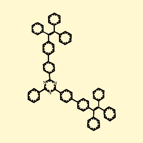 c1ccc(C(=C(c2ccccc2)c2ccc(-c3ccc(-c4nc(-c5ccccc5)nc(-c5ccc(-c6ccc(C(=C(c7ccccc7)c7ccccc7)c7ccccc7)cc6)cc5)n4)cc3)cc2)c2ccccc2)cc1